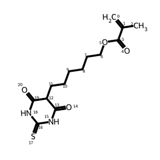 C=C(C)C(=O)OCCCCCCC1C(=O)NC(=S)NC1=O